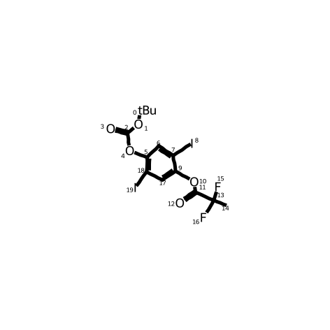 CC(C)(C)OC(=O)Oc1cc(I)c(OC(=O)C(C)(F)F)cc1I